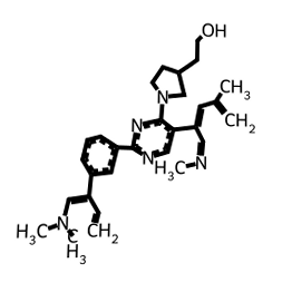 C=C/C(=C\N(C)C)c1cccc(-c2ncc(C(/C=N\C)=C/C(=C)C)c(N3CCC(CCO)C3)n2)c1